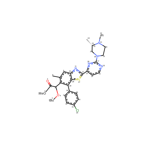 COC(=O)C(OC(C)(C)C)c1c(C)cc2nc(-c3ccnc(N4CCN(C(C)C)[C@@H](C)C4)n3)sc2c1-c1ccc(Cl)cc1